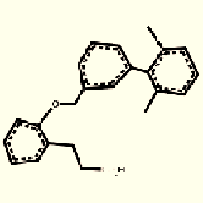 Cc1cccc(C)c1-c1cccc(COc2ccccc2CCC(=O)O)c1